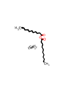 C=CCCCCCCCCC(=O)OC(=O)CCCCCCCCC=C.[CaH2].[CaH2]